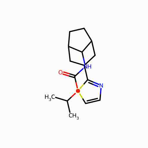 CC(C)OC(=O)NC1C2CCC1CC(c1nccs1)C2